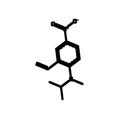 C=Cc1cc([N+](=O)[O-])ccc1N(C)C(C)C